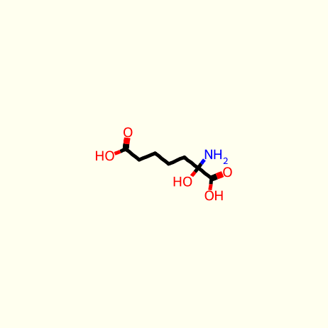 NC(O)(CCCCC(=O)O)C(=O)O